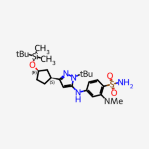 CNc1cc(Nc2cc([C@H]3CC[C@@H](O[Si](C)(C)C(C)(C)C)C3)nn2C(C)(C)C)ccc1S(N)(=O)=O